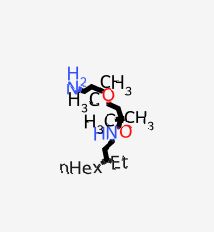 CCCCCCC(CC)CCNC(=O)C(C)(C)CCOC(C)(C)CCN